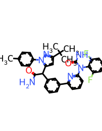 Cc1ccc(-n2nc(C(C)(C)C)cc2C(C(N)=O)c2cccc(-c3cccc(N(C(N)=O)c4c(F)cccc4F)n3)c2)cc1